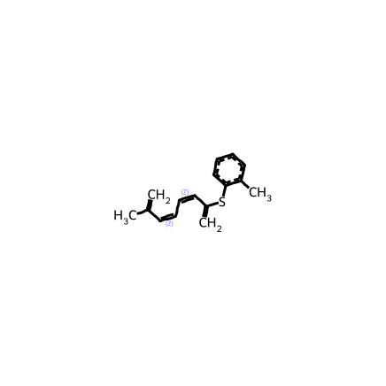 C=C(C)/C=C\C=C/C(=C)Sc1ccccc1C